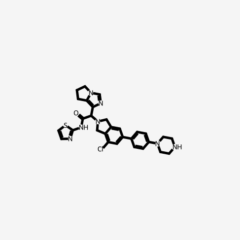 O=C(Nc1nccs1)C(c1ncn2c1CCC2)N1Cc2cc(-c3ccc(N4CCNCC4)cc3)cc(Cl)c2C1